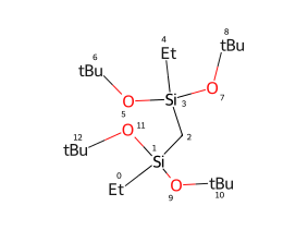 CC[Si](C[Si](CC)(OC(C)(C)C)OC(C)(C)C)(OC(C)(C)C)OC(C)(C)C